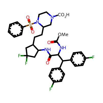 COC(=O)NC(C(=O)NC1CC(F)(F)CC1CCC1CN(C(=O)O)CCN1S(=O)(=O)c1ccccc1)C(c1ccc(F)cc1)c1ccc(F)cc1